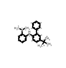 CN(C)c1ccccc1Nc1ccc(C(C)(C)C)cc1-c1ccccc1